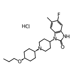 CCCO[C@H]1CC[C@@H](N2CCC(n3c(=O)[nH]c4cc(F)c(C)cc43)CC2)CC1.Cl